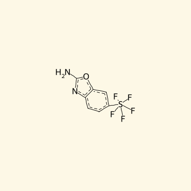 Nc1nc2ccc(S(F)(F)(F)(F)F)cc2o1